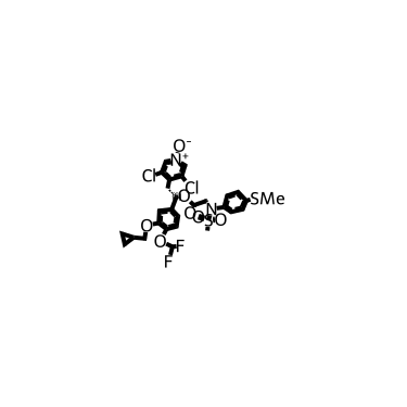 CSc1ccc(N(CC(=O)O[C@@H](Cc2c(Cl)c[n+]([O-])cc2Cl)c2ccc(OC(F)F)c(OCC3CC3)c2)S(C)(=O)=O)cc1